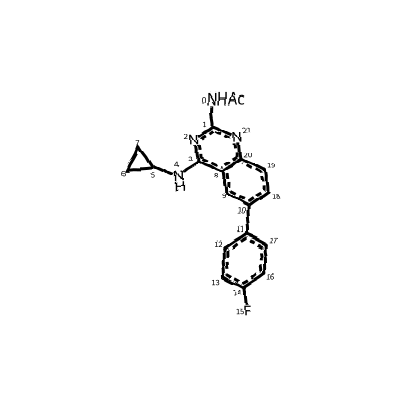 CC(=O)Nc1nc(NC2CC2)c2cc(-c3ccc(F)cc3)ccc2n1